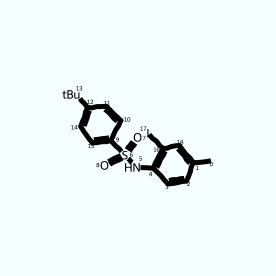 Cc1ccc(NS(=O)(=O)c2ccc(C(C)(C)C)cc2)c(I)c1